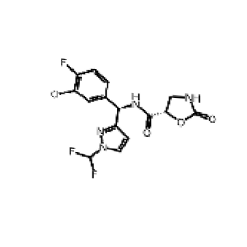 O=C1NC[C@@H](C(=O)N[C@H](c2ccc(F)c(Cl)c2)c2ccn(C(F)F)n2)O1